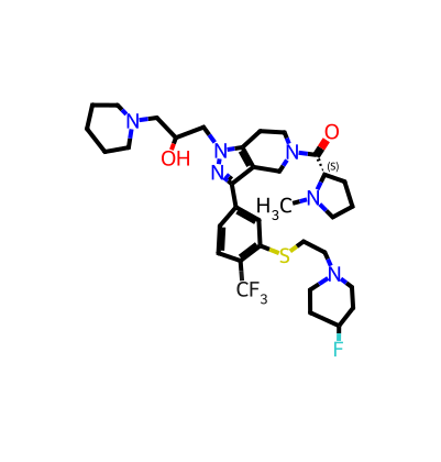 CN1CCC[C@H]1C(=O)N1CCc2c(c(-c3ccc(C(F)(F)F)c(SCCN4CCC(F)CC4)c3)nn2CC(O)CN2CCCCC2)C1